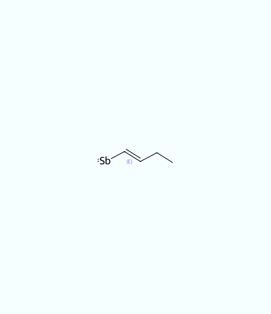 CC/C=[CH]/[Sb]